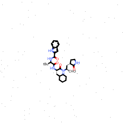 CC(C)(C)C(NC(=O)c1cc2ccccc2[nH]1)C(=O)N[C@@H](CC1CCCCC1)C(=O)N[C@H](C=O)C[C@@H]1CCNC1=O